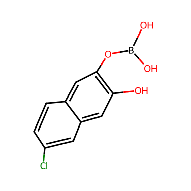 OB(O)Oc1cc2ccc(Cl)cc2cc1O